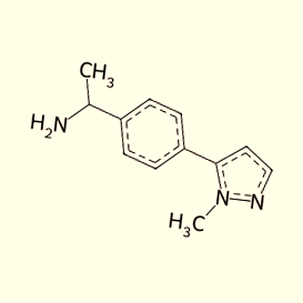 CC(N)c1ccc(-c2ccnn2C)cc1